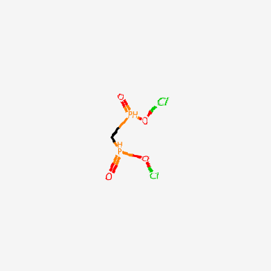 O=[PH](C[PH](=O)OCl)OCl